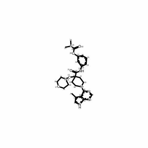 Cc1c[nH]c2ncnc(N3CCC(CN4CCOCC4)(C(=O)Nc4cccc(OC(=O)N(C)C)c4)CC3)c12